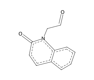 O=CCn1c(=O)ccc2ccccc21